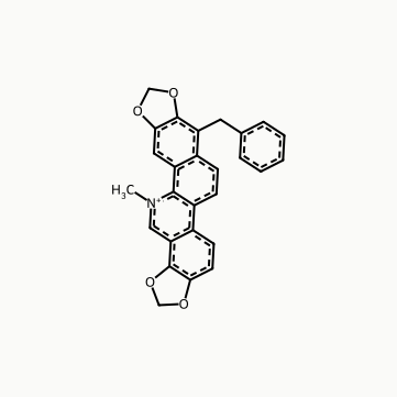 C[n+]1cc2c3c(ccc2c2ccc4c(Cc5ccccc5)c5c(cc4c21)OCO5)OCO3